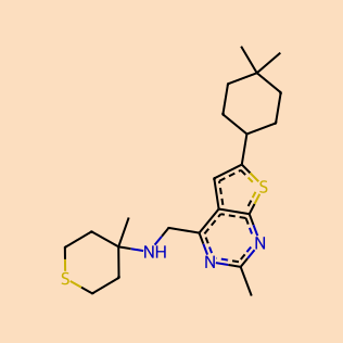 Cc1nc(CNC2(C)CCSCC2)c2cc(C3CCC(C)(C)CC3)sc2n1